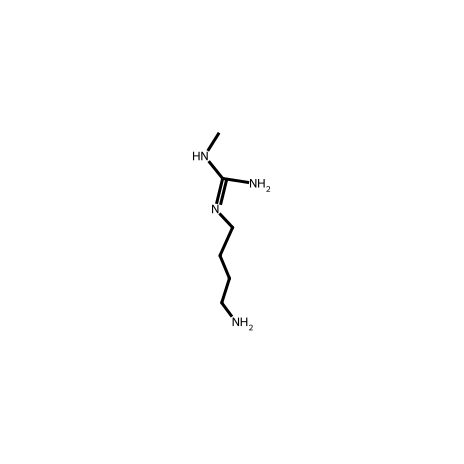 CN/C(N)=N/CCCCN